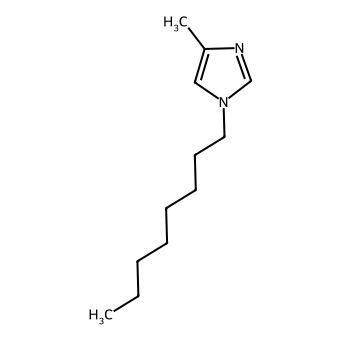 CCCCCCCCn1cnc(C)c1